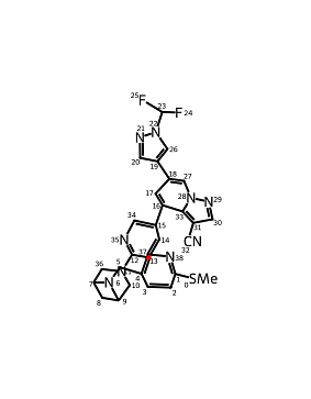 CSc1ccc(CN2C3CC2CN(c2ccc(-c4cc(-c5cnn(C(F)F)c5)cn5ncc(C#N)c45)cn2)C3)cn1